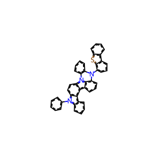 c1ccc(-n2c3ccccc3c3c4c5cccc6c5n(c4ccc32)-c2ccccc2N6c2cccc3c2sc2ccccc23)cc1